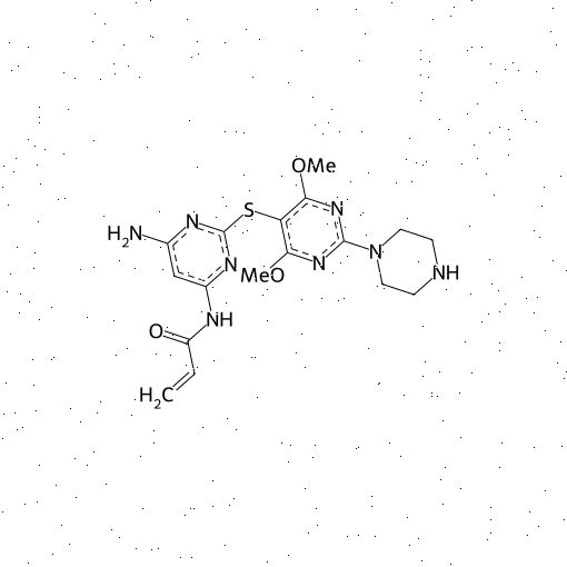 C=CC(=O)Nc1cc(N)nc(Sc2c(OC)nc(N3CCNCC3)nc2OC)n1